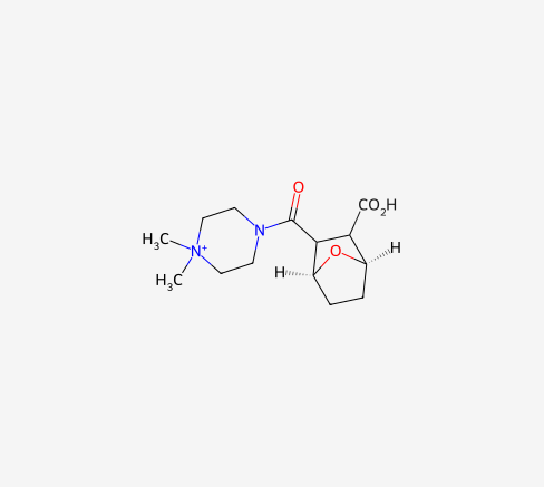 C[N+]1(C)CCN(C(=O)C2C(C(=O)O)[C@H]3CC[C@@H]2O3)CC1